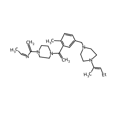 C=C(/N=C\C)N1CCN(C(=C)c2cc(CN3CCN(/C(C)=C/CC)CC3)ccc2C)CC1